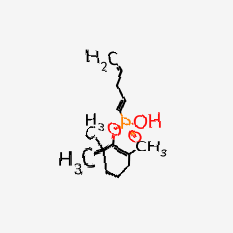 C=CCC=CP(=O)(O)OC1=C(C)CCCC1(C)C